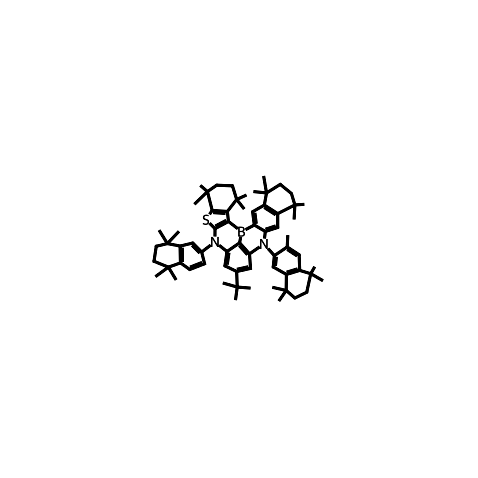 Cc1cc2c(cc1N1c3cc4c(cc3B3c5c1cc(C(C)(C)C)cc5N(c1ccc5c(c1)C(C)(C)CCC5(C)C)c1sc5c(c13)C(C)(C)CCC5(C)C)C(C)(C)CCC4(C)C)C(C)(C)CCC2(C)C